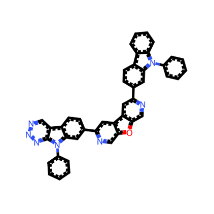 c1ccc(-n2c3ccccc3c3ccc(-c4cc5c(cn4)oc4cnc(-c6ccc7c8cnnnc8n(-c8ccccc8)c7c6)cc45)cc32)cc1